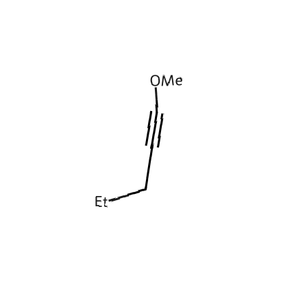 [CH2]OC#CCCC